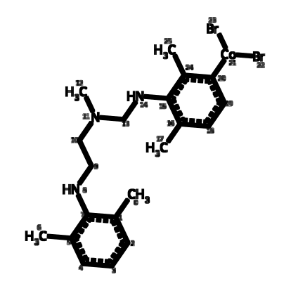 Cc1cccc(C)c1NCCN(C)CNc1c(C)cc[c]([Co]([Br])[Br])c1C